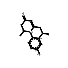 CC1CC2=CC(=O)CC(C)N2c2ccc(Cl)cc21